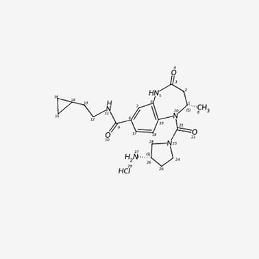 C[C@H]1CC(=O)Nc2cc(C(=O)NCCC3CC3)ccc2N1C(=O)N1CC[C@H](N)C1.Cl